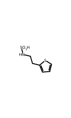 O=S(=O)(O)NCCc1cccs1